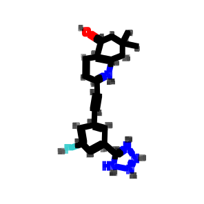 CC1(C)CC(=O)c2ccc(C#Cc3cc(F)cc(-c4nnn[nH]4)c3)nc2C1